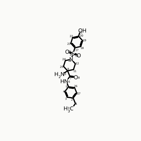 CCc1ccc(NC(=O)C2(N)CCN(S(=O)(=O)c3ccc(O)cc3)CC2)cc1